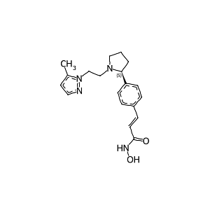 Cc1ccnn1CCN1CCC[C@H]1c1ccc(C=CC(=O)NO)cc1